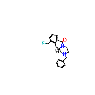 O=C1c2cccc(CF)c2C[C@@H]2CN(Cc3ccccc3)CCN12